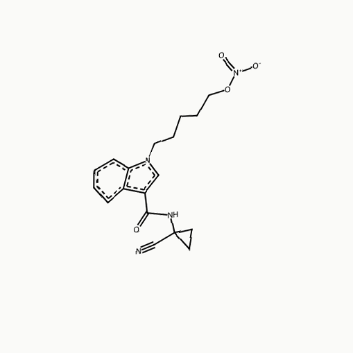 N#CC1(NC(=O)c2cn(CCCCCO[N+](=O)[O-])c3ccccc23)CC1